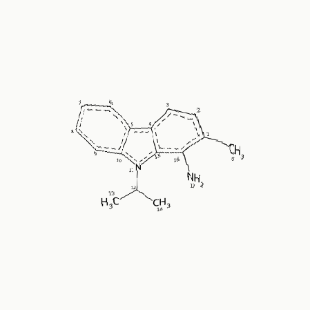 Cc1ccc2c3ccccc3n(C(C)C)c2c1N